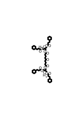 CC(COC(=O)CCCC(=O)CCCC(=O)OCC(C)(COC(=O)CCC1CCCCC1)COC(=O)CCC1CCCCC1)(COC(=O)CCC1CCCCC1)COC(=O)CCC1CCCCC1